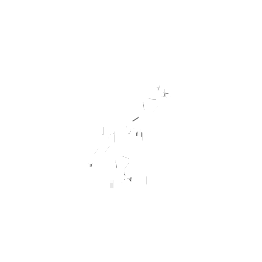 CC(C)N(C)c1ccc([C@H]2C[C@@]3(C)[C@@H](CC[C@@]3(O)C#Cc3ccc(S(C)(=O)=O)cc3)[C@@H]3CCC4=CC(=O)CCC4=C32)cc1